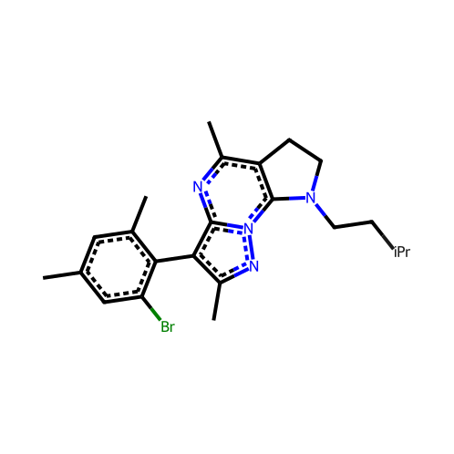 Cc1cc(C)c(-c2c(C)nn3c4c(c(C)nc23)CCN4CCC(C)C)c(Br)c1